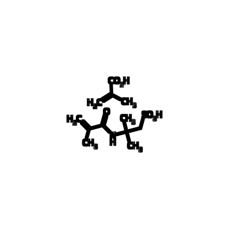 C=C(C)C(=O)NC(C)(C)CS(=O)(=O)O.C=C(C)C(=O)O